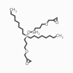 CCCCCCCC[Si](CCCCCCCC)(CCCOCC1CO1)O[SiH2]CCCOCC1CO1